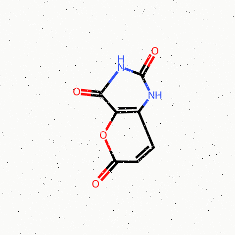 O=c1[nH]c(=O)c2oc(=O)ccc2[nH]1